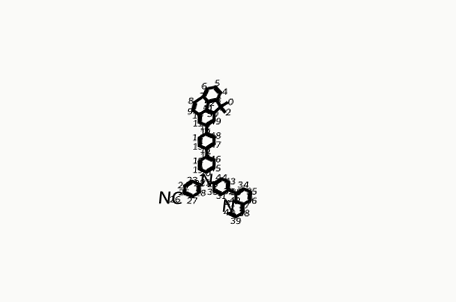 CC1(C)c2cccc3ccc4cc(-c5ccc(-c6ccc(N(c7ccc(C#N)cc7)c7ccc(-c8cccc9cccnc89)cc7)cc6)cc5)cc1c4c23